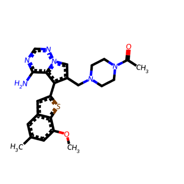 COc1cc(C)cc2cc(-c3c(CN4CCN(C(C)=O)CC4)cn4ncnc(N)c34)sc12